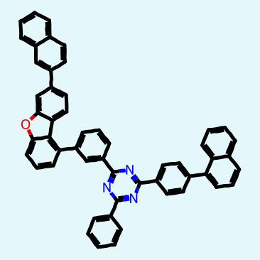 c1ccc(-c2nc(-c3ccc(-c4cccc5ccccc45)cc3)nc(-c3cccc(-c4cccc5oc6cc(-c7ccc8ccccc8c7)ccc6c45)c3)n2)cc1